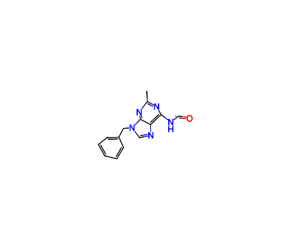 Cc1nc(N[C]=O)c2ncn(Cc3ccccc3)c2n1